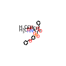 CC(COP(=O)(CCC(=O)OCc1ccccc1)c1ccc(OCc2ccccc2)cc1)NC(=O)OC(C)(C)C